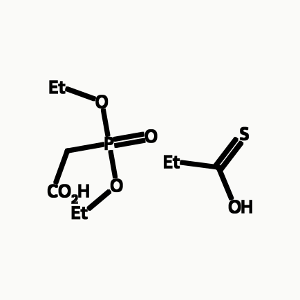 CCC(O)=S.CCOP(=O)(CC(=O)O)OCC